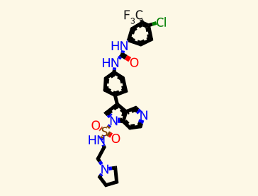 O=C(Nc1ccc(-c2cn(S(=O)(=O)NCCN3CCCC3)c3ccncc23)cc1)Nc1ccc(Cl)c(C(F)(F)F)c1